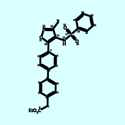 CCOC(=O)Cc1ccc(-c2ccc(-c3onc(C)c3NS(=O)(=O)c3ccccc3)cc2)cc1